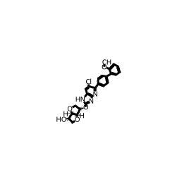 COc1ccccc1-c1ccc(-c2nc3nc(O[C@@H]4CO[C@H]5[C@@H]4OC[C@H]5O)[nH]c3cc2Cl)cc1